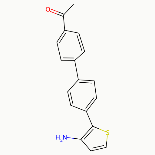 CC(=O)c1ccc(-c2ccc(-c3sccc3N)cc2)cc1